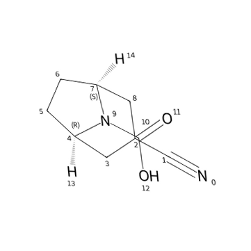 N#CC1C[C@H]2CC[C@@H](C1)N2C(=O)O